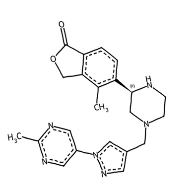 Cc1ncc(-n2cc(CN3CCN[C@H](c4ccc5c(c4C)COC5=O)C3)cn2)cn1